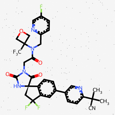 CC(C)(C#N)c1ccc(-c2ccc3c(c2)C(F)(F)C[C@]32NC(=O)N(CC(=O)N(Cc3ccc(F)cn3)C3(C(F)(F)F)COC3)C2=O)cn1